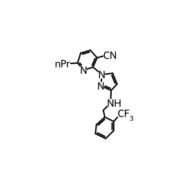 CCCc1ccc(C#N)c(-n2ccc(NCc3ccccc3C(F)(F)F)n2)n1